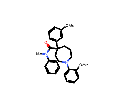 CCN(C(=O)C1(c2cccc(OC)c2)CCCN(c2ccccc2OC)CC1)c1ccccc1